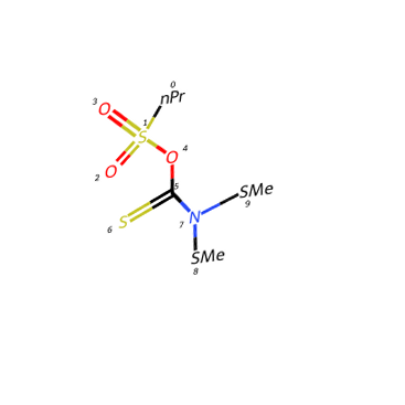 CCCS(=O)(=O)OC(=S)N(SC)SC